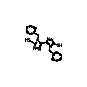 Sc1nnc(-c2nnc(S)n2Cc2ccccc2)n1Cc1ccccc1